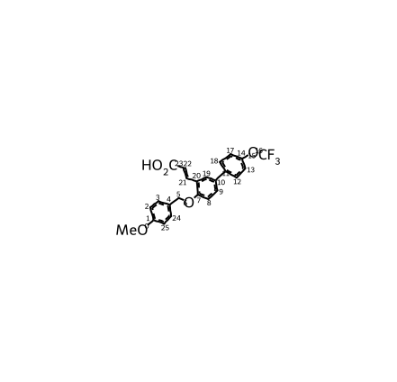 COc1ccc(COc2ccc(-c3ccc(OC(F)(F)F)cc3)cc2/C=C/C(=O)O)cc1